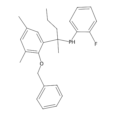 CCCC(C)(Pc1ccccc1F)c1cc(C)cc(C)c1OCc1ccccc1